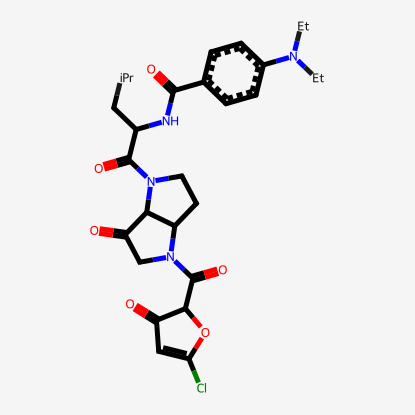 CCN(CC)c1ccc(C(=O)NC(CC(C)C)C(=O)N2CCC3C2C(=O)CN3C(=O)C2OC(Cl)=CC2=O)cc1